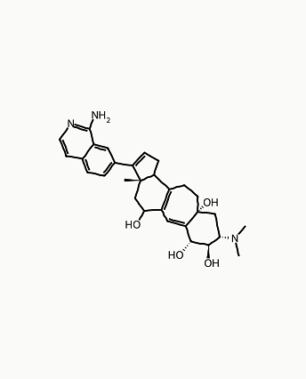 CN(C)[C@H]1C[C@]2(O)CCC3=C(C=C2[C@@H](O)[C@@H]1O)C(O)C[C@]1(C)C(c2ccc4ccnc(N)c4c2)=CCC31